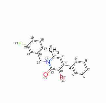 Cc1cc(-c2ccccc2)c(Br)c(=O)n1Cc1cccc(F)c1